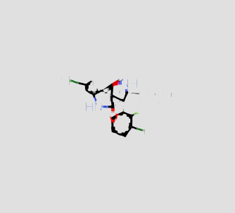 CCOC(=O)[C@@H]1NC2(CCCC2)[C@@]2(C(=O)Nc3cc(Cl)ccc32)[C@H]1c1cccc(Cl)c1F